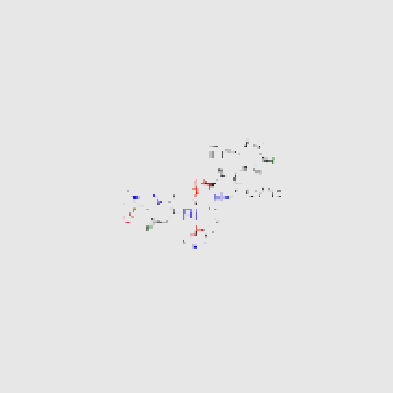 COc1cn(C(Cc2cnco2)C(=O)Nc2cnc(C(N)=O)c(F)c2)c(=O)cc1-c1cc(Cl)ccc1C(C)C